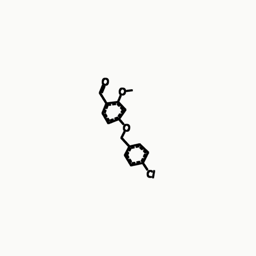 COc1cc(OCc2ccc(Cl)cc2)ccc1C=O